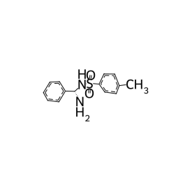 Cc1ccc(S(=O)(=O)N[C@H](N)c2ccccc2)cc1